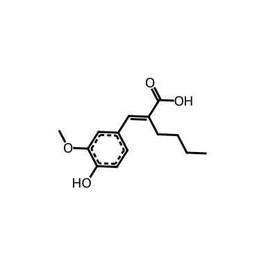 CCCC/C(=C\c1ccc(O)c(OC)c1)C(=O)O